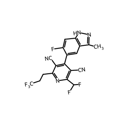 Cc1n[nH]c2cc(F)c(-c3c(C#N)c(CCC(F)(F)F)nc(C(F)F)c3C#N)cc12